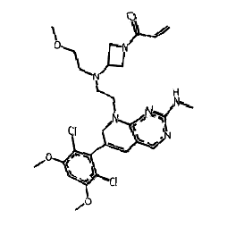 C=CC(=O)N1CC(N(CCOC)CCN2CC(c3c(Cl)c(OC)cc(OC)c3Cl)=Cc3cnc(NC)nc32)C1